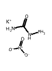 NC(=O)NP.O=[N+]([O-])[O-].[K+]